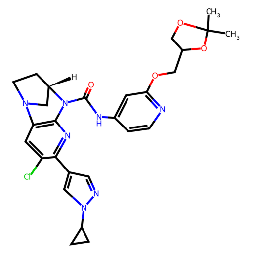 CC1(C)OCC(COc2cc(NC(=O)N3c4nc(-c5cnn(C6CC6)c5)c(Cl)cc4N4CC[C@H]3C4)ccn2)O1